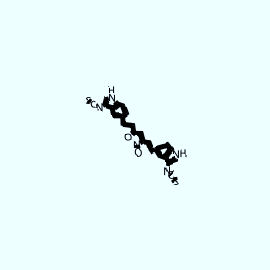 O=NC(=C\C(=O)/C=C/c1ccc2[nH]cc(N=C=S)c2c1)/C=C/c1ccc2[nH]cc(N=C=S)c2c1